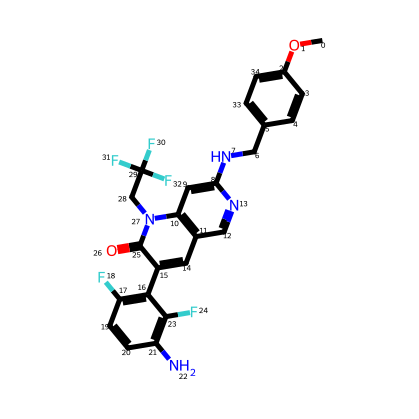 COc1ccc(CNc2cc3c(cn2)cc(-c2c(F)ccc(N)c2F)c(=O)n3CC(F)(F)F)cc1